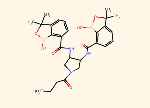 CC1(C)OB(O)c2c(C(=O)NC3CN(C(=O)CCC(=O)O)CC3NC(=O)c3cccc4c3B(O)OC4(C)C)cccc21